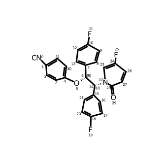 [C-]#[N+]c1ccc(O[C@H](c2ccc(F)cc2)[C@@H](c2ccc(F)cc2)n2cc(F)ccc2=O)cc1